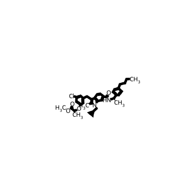 CCCCc1ccc([C@H](C)NC(=O)c2ccc3c(Cc4cc(Cl)cc(O[C@H](C)C(=O)OC)c4)c(C)n(CC4CC4)c3c2)cc1